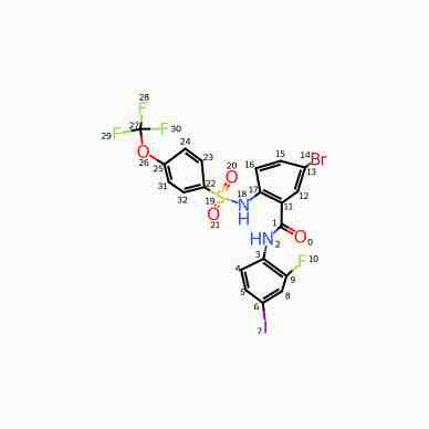 O=C(Nc1ccc(I)cc1F)c1cc(Br)ccc1NS(=O)(=O)c1ccc(OC(F)(F)F)cc1